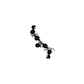 CCc1ccccc1P(=O)(OCc1ccc(C(=O)Nc2cc(-c3cccs3)ccc2N)cc1)OCc1ccc(C(=O)Nc2cc(-c3cccs3)ccc2N)cc1